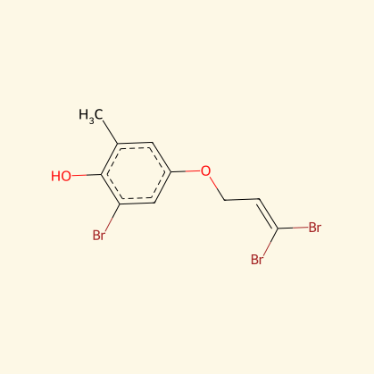 Cc1cc(OCC=C(Br)Br)cc(Br)c1O